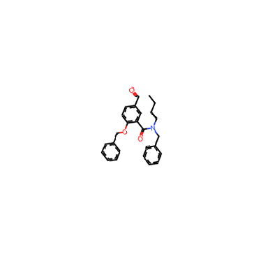 CCCCN(Cc1ccccc1)C(=O)c1cc(C=O)ccc1OCc1ccccc1